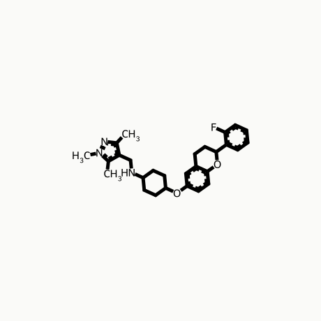 Cc1nn(C)c(C)c1CNC1CCC(Oc2ccc3c(c2)CCC(c2ccccc2F)O3)CC1